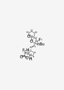 CCCCC(C)(F)C(/C=C/[C@@H]1CC[C@H]2OC(=O)[C@H](F)[C@@H]12)OC1CCCCO1